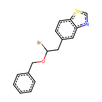 BrC(Cc1ccc2scnc2c1)OCc1ccccc1